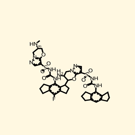 CN[C@H]1COc2c(S(=O)(=O)NC(=O)Nc3c4c(c(F)c5c3C(C3Oc6c(S(=O)(=O)NC(=O)Nc7c8c(cc9c7CCC9)CCC8)cnn6CC3N)CC5)CCC4)cnn2C1